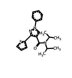 CC(C)N(C(=O)c1cn(-c2ccccc2)nc1-c1cccs1)C(C)C